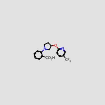 O=C(O)c1ccccc1N1CCC(Oc2ccc(C(F)(F)F)cn2)C1